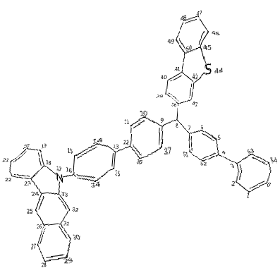 c1ccc(-c2ccc(C(c3ccc(-c4ccc(-n5c6ccccc6c6cc7ccccc7cc65)cc4)cc3)c3ccc4c(c3)sc3ccccc34)cc2)cc1